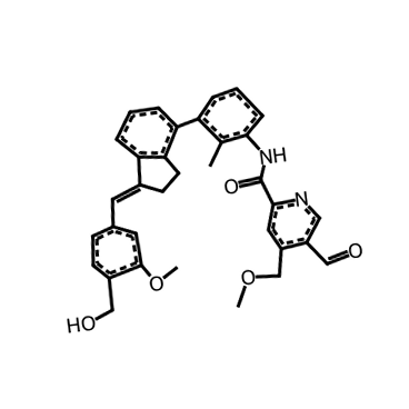 COCc1cc(C(=O)Nc2cccc(-c3cccc4c3CC/C4=C\c3ccc(CO)c(OC)c3)c2C)ncc1C=O